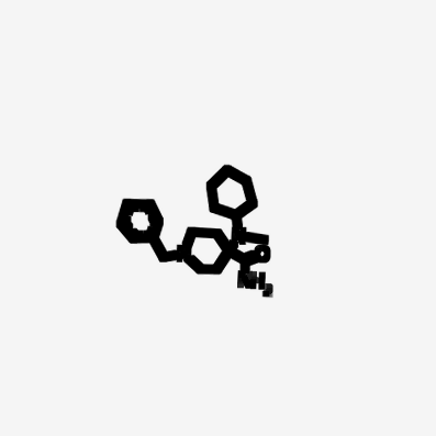 CN(C1CCCCC1)C1(C(N)=O)CCN(Cc2ccccc2)CC1